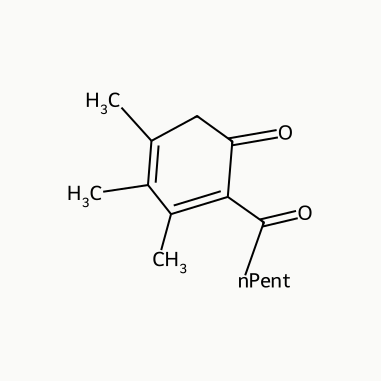 CCCCCC(=O)C1=C(C)C(C)=C(C)CC1=O